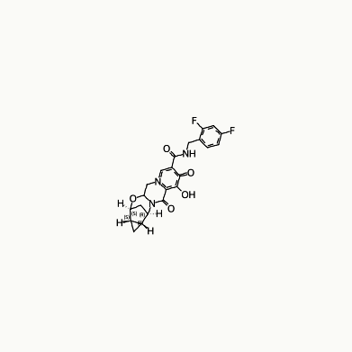 O=C(NCc1ccc(F)cc1F)c1cn2c(c(O)c1=O)C(=O)N1C(C2)O[C@H]2C[C@@H]1[C@@H]1C[C@@H]12